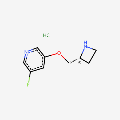 Cl.Fc1cncc(OC[C@H]2CCN2)c1